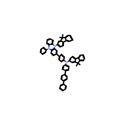 CC1(C)c2ccccc2-c2ccc(N(c3ccc(-c4ccc(-c5ccccc5)cc4)cc3)c3ccc(-c4ccc5c(c4)N(c4ccc6c(c4)C(C)(C)c4ccccc4-6)c4ccccc4N5c4ccccc4)cc3)cc21